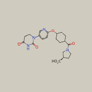 O=C1CCN(c2ccc(OC3CCC(C(=O)N4CC[C@@H](C(=O)O)C4)CC3)nc2)C(=O)N1